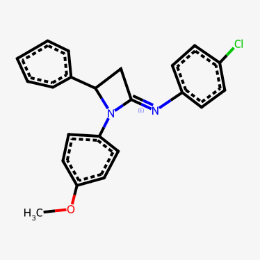 COc1ccc(N2/C(=N/c3ccc(Cl)cc3)CC2c2ccccc2)cc1